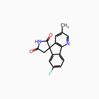 Cc1cnc2c(c1)C1(CC(=O)NC1=O)c1cc(F)ccc1-2